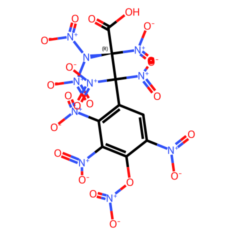 O=C(O)[C@](N([N+](=O)[O-])[N+](=O)[O-])([N+](=O)[O-])C(c1cc([N+](=O)[O-])c(O[N+](=O)[O-])c([N+](=O)[O-])c1[N+](=O)[O-])([N+](=O)[O-])[N+](=O)[O-]